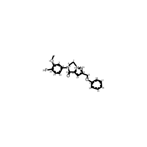 COc1cc(N2CCn3nc(COc4ccccc4)cc3C2=O)ccc1F